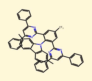 Cc1ccc2c3ccc(C)cc3n(-c3c(-c4nc(-c5ccccc5)cc(-c5ccccc5)n4)cc(C(F)(F)F)cc3-c3nc(-c4ccccc4)cc(-c4ccccc4)n3)c2c1